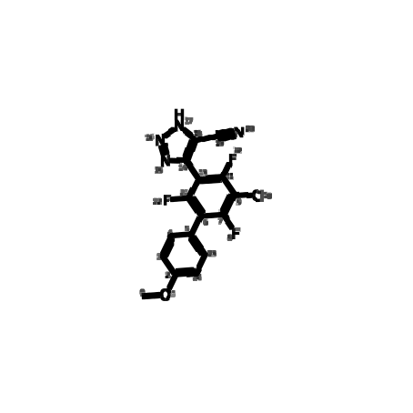 COc1ccc(-c2c(F)c(Cl)c(F)c(-c3nn[nH]c3C#N)c2F)cc1